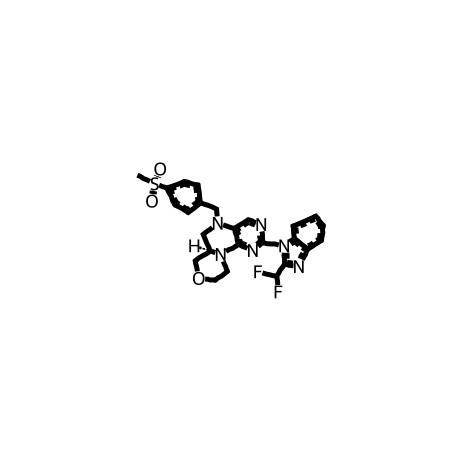 CS(=O)(=O)c1ccc(CN2C[C@@H]3COCCN3c3nc(-n4c(C(F)F)nc5ccccc54)ncc32)cc1